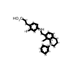 Cc1c(CNc2ccc(CCC(=O)O)c(F)c2)ccc2c1N(c1ccccc1)CCC2